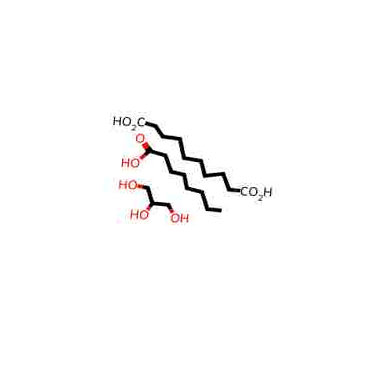 CCCCCCCC(=O)O.O=C(O)CCCCCCCCC(=O)O.OCC(O)CO